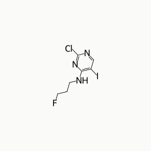 FCCCNc1nc(Cl)ncc1I